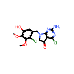 COc1c(O)cc(CN2CC(=O)c3c(Cl)nc(N)nc32)c(Cl)c1OC